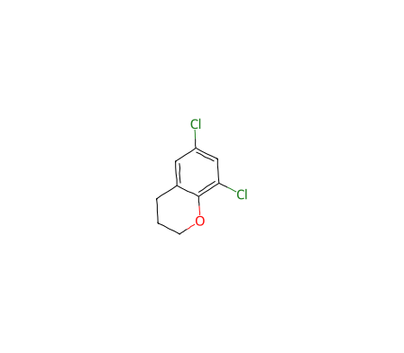 Clc1cc(Cl)c2c(c1)CCCO2